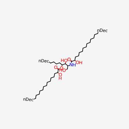 CCCCCCCCCCCCCCCCCCCCCCC(O)C(=O)NC(CO)C(O)C(CCCCCCCCCCCCCC)OC(=O)C(O)CCCCCCCCCCCCCCCCCCCCCC